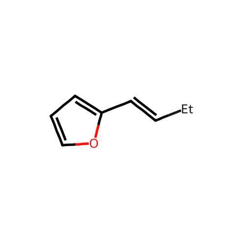 [CH2]CC=Cc1ccco1